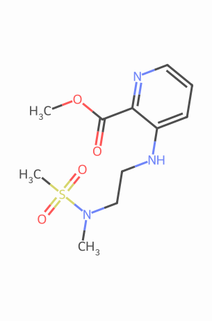 COC(=O)c1ncccc1NCCN(C)S(C)(=O)=O